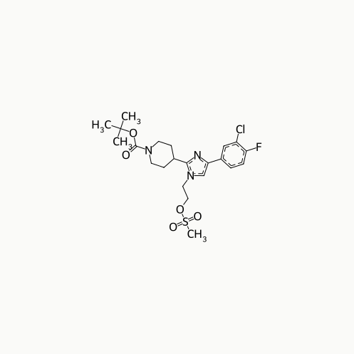 CC(C)(C)OC(=O)N1CCC(c2nc(-c3ccc(F)c(Cl)c3)cn2CCOS(C)(=O)=O)CC1